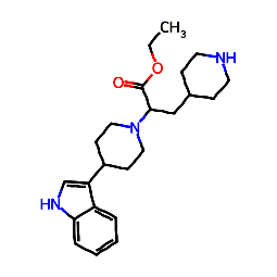 CCOC(=O)C(CC1CCNCC1)N1CCC(c2c[nH]c3ccccc23)CC1